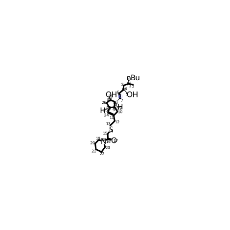 CCCC[C@H](C)C[C@H](O)/C=C/[C@@H]1[C@H]2CC(CCSCC(=O)N3CCCCC3)=C[C@H]2C[C@H]1O